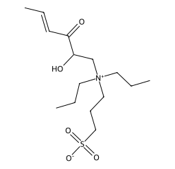 CC=CC(=O)C(O)C[N+](CCC)(CCC)CCCS(=O)(=O)[O-]